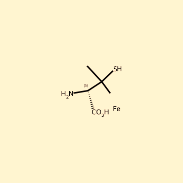 CC(C)(S)[C@@H](N)C(=O)O.[Fe]